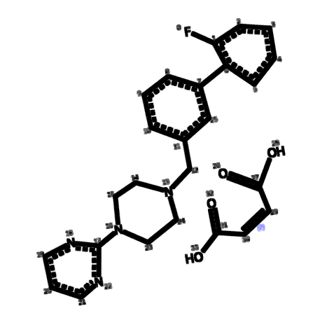 Fc1ccccc1-c1cccc(CN2CCN(c3ncccn3)CC2)c1.O=C(O)/C=C\C(=O)O